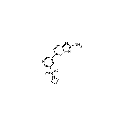 Nc1nc2ccc(-c3cncc(S(=O)(=O)N4CCC4)c3)cn2n1